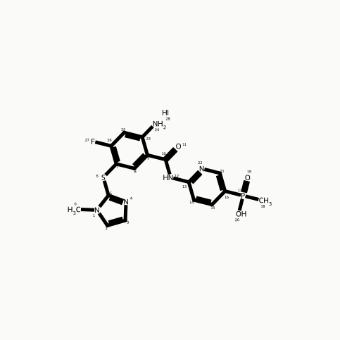 Cn1ccnc1Sc1cc(C(=O)Nc2ccc(P(C)(=O)O)cn2)c(N)cc1F.I